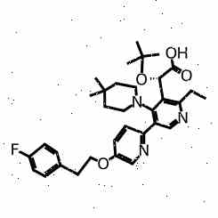 CCc1ncc(-c2ccc(OCCc3ccc(F)cc3)cn2)c(N2CCC(C)(C)CC2)c1[C@H](OC(C)(C)C)C(=O)O